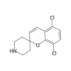 Clc1ccc(Cl)c2c1C=CC1(CCNCC1)O2